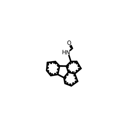 O=CNc1ccc2cccc3c2c1-c1ccccc1-3